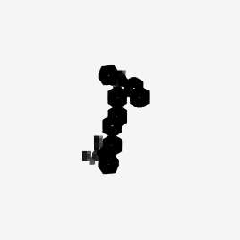 CC1(C)c2ccccc2-c2ccc(-c3ccc4cc(-c5ccc6c(c5)c5c7ccccc7ccc5c5nc7ccccc7n65)ccc4c3)cc21